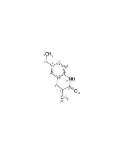 CCc1cnc2c(c1)CC(C)C(=O)N2